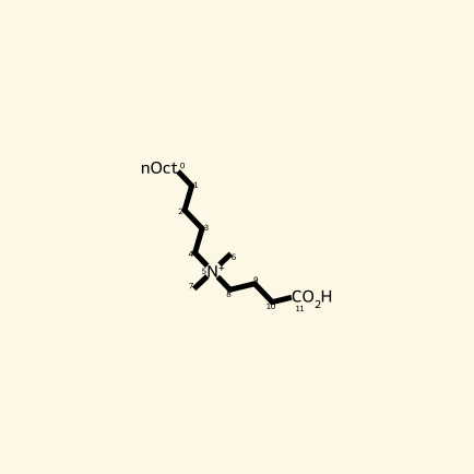 CCCCCCCCCCCC[N+](C)(C)CCCC(=O)O